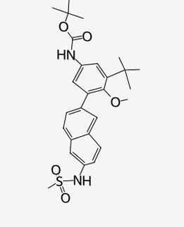 COc1c(-c2ccc3cc(NS(C)(=O)=O)ccc3c2)cc(NC(=O)OC(C)(C)C)cc1C(C)(C)C